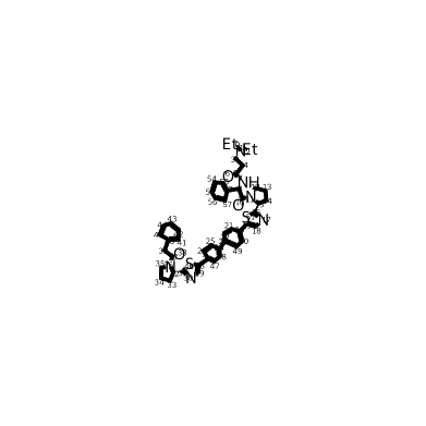 CCN(CC)CCC(=O)N[C@@H](C(=O)N1CCC[C@H]1c1ncc(-c2ccc(-c3ccc(-c4cnc([C@@H]5CCCN5C(=O)Cc5ccccc5)s4)cc3)cc2)s1)c1ccccc1